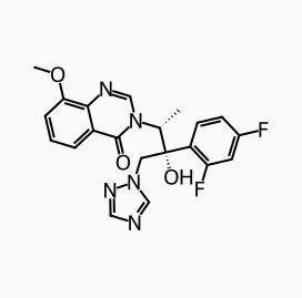 COc1cccc2c(=O)n([C@H](C)[C@](O)(Cn3cncn3)c3ccc(F)cc3F)cnc12